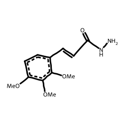 COc1ccc(C=CC(=O)NN)c(OC)c1OC